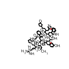 CC(C)CC(NC(=O)C(Cc1c[nH]c2ccccc12)NC(=O)C(CC(=O)C(CO)NC(=O)C(CC(=O)C(CC(=O)C1CCC(=O)C1)Cc1cnc[nH]1)Cc1c[nH]c2ccccc12)Cc1ccc(O)cc1)C(=O)NC(CCCNC(=N)N)C(=O)CN1CCCC1C(=O)NCC(N)=O